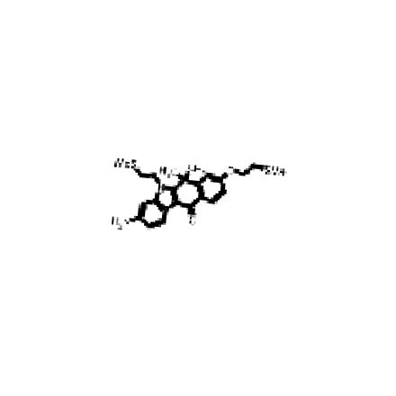 CSCCOc1ccc2c(c1)C(C)(C)c1c(c3ccc(N)cc3n1CCSC)C2=O